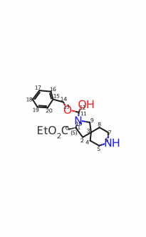 CCOC(=O)[C@@H]1CC2(CCNCC2)CN1C(O)OCc1ccccc1